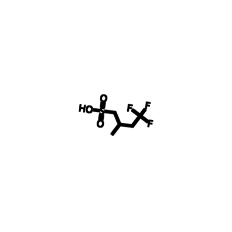 CC(CC(F)(F)F)CS(=O)(=O)O